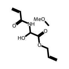 C=CCOC(=O)C(O)NC(=O)C=C.COC